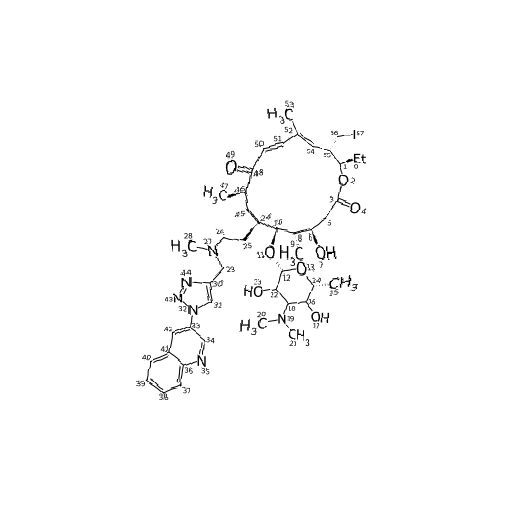 CC[C@H]1OC(=O)C[C@@H](O)[C@H](C)[C@@H](O[C@@H]2O[C@H](C)C(O)C(N(C)C)C2O)[C@@H](CCN(C)Cc2cn(-c3cnc4ccccc4c3)nn2)C[C@@H](C)C(=O)/C=C/C(C)=C/[C@@H]1CI